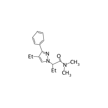 CCc1cn(C(CC)C(=O)N(C)C)nc1-c1ccccc1